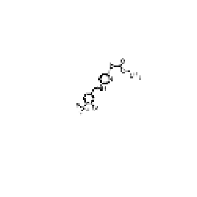 CCOC(=O)[C@@H]1C[C@H]1c1ccc(NCc2ccc(C(F)(F)F)c(Br)c2)cn1